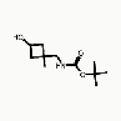 CC(C)(C)OC(=O)NCC1(F)CC(O)C1